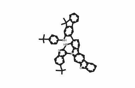 CC(C)(C)c1ccc(Nc2cc3c(cc2-c2ccc4c5cc6c(cc5n5c4c2Bc2sc4ccc(C(C)(C)C)cc4c2-5)oc2ccccc26)-c2ccccc2C3(C)C)cc1